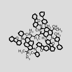 Cc1ccccc1N(c1cc(C(C)C)c2ccc3c(N(c4ccccc4C)c4cccc5c4oc4ccccc45)cc(C(C)CCC(C)c4cc(N(c5cc(-c6ccccc6)ccc5C)c5c(C)ccc6c5oc5ccccc56)c5ccc6c(C(C)C)cc(N(c7cc(-c8ccccc8)ccc7C)c7c(C)ccc8c7oc7ccccc78)c7ccc4c5c67)c4ccc1c2c43)c1cccc2c1oc1ccccc12